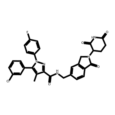 Cc1c(C(=O)NCc2ccc3c(c2)CN(C2CCC(=O)NC2=O)C3=O)nn(-c2ccc(F)cc2)c1-c1cccc(Cl)c1